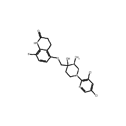 CC1CN(c2ncc(Cl)cc2Cl)CCC1(O)COc1ccc(F)c2c1CCC(=O)N2